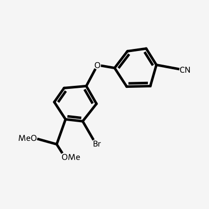 COC(OC)c1ccc(Oc2ccc(C#N)cc2)cc1Br